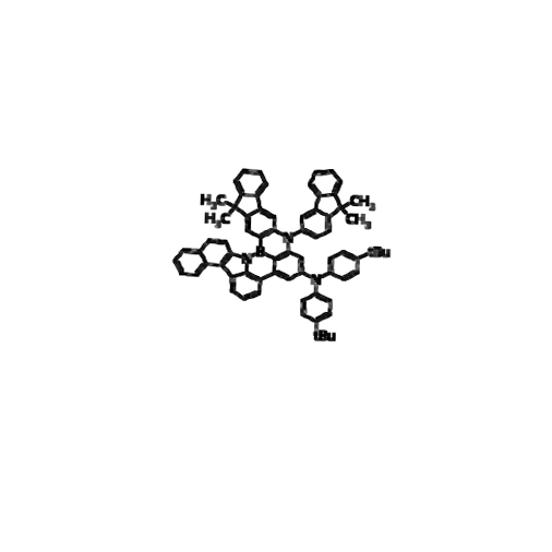 CC(C)(C)c1ccc(N(c2ccc(C(C)(C)C)cc2)c2cc3c4c(c2)N(c2ccc5c(c2)-c2ccccc2C5(C)C)c2cc5c(cc2B4n2c4ccc6ccccc6c4c4cccc-3c42)C(C)(C)c2ccccc2-5)cc1